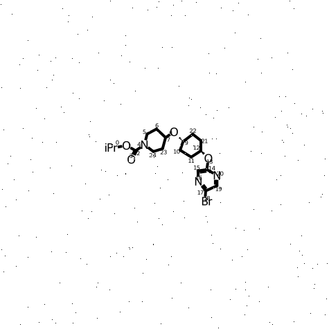 CC(C)OC(=O)N1CCC(O[C@H]2CC[C@H](Oc3cnc(Br)cn3)CC2)CC1